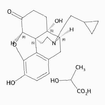 CC(O)C(=O)O.O=C1CC[C@@]2(O)[C@H]3Cc4ccc(O)c5c4[C@@]2(CCN3CC2CC2)[C@H]1O5